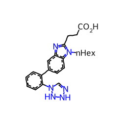 CCCCCCn1c(CCC(=O)O)nc2cc(-c3ccccc3N3C=NNN3)ccc21